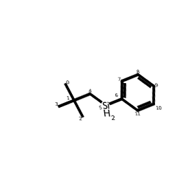 CC(C)(C)C[SiH2]c1ccccc1